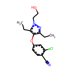 CCc1nn(CCO)c(CC)c1Oc1ccc(C#N)c(Cl)c1